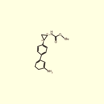 CC(C)(C)OC(=O)N[C@H]1C[C@@H]1c1ccc(C2=CCCC(N)=C2)cc1